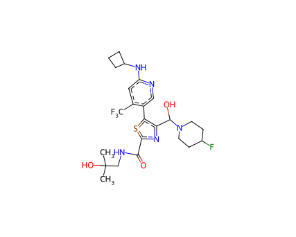 CC(C)(O)CNC(=O)c1nc(C(O)N2CCC(F)CC2)c(-c2cnc(NC3CCC3)cc2C(F)(F)F)s1